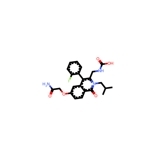 CC(C)Cn1c(CNC(=O)O)c(-c2ccccc2F)c2cc(OCC(N)=O)ccc2c1=O